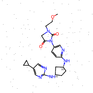 COCCN1CC(=O)N(c2ccc(N[C@H]3CC[C@H](Nc4ncc(C5CC5)cn4)C3)nc2)C1=O